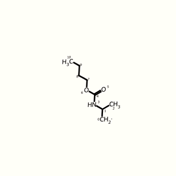 [CH2]C(C)NC(=O)OCCCC